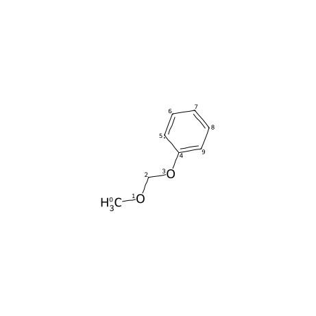 COCOc1[c]cccc1